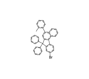 Cc1ccccc1-c1cc2c(c3ccccc13)-c1ccc(Br)cc1C2(c1ccccc1)c1ccccc1